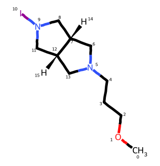 COCCCN1C[C@H]2CN(I)C[C@H]2C1